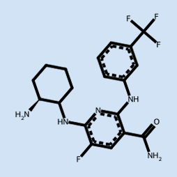 NC(=O)c1cc(F)c(NC2CCCC[C@@H]2N)nc1Nc1cccc(C(F)(F)F)c1